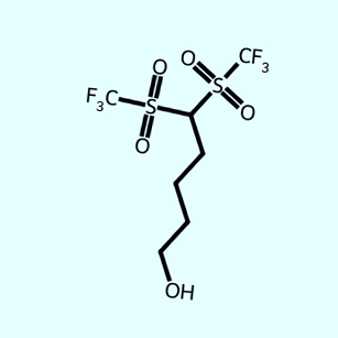 O=S(=O)(C(CCCCO)S(=O)(=O)C(F)(F)F)C(F)(F)F